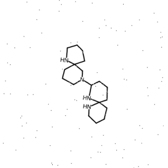 C1CCC2(CCCN(C3CCCC4(CCCCN4)N3)C2)NC1